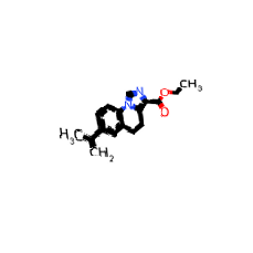 C=C(C)c1ccc2c(c1)CCc1c(C(=O)OCC)ncn1-2